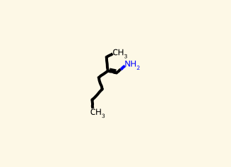 CCCCC(=CN)CC